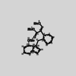 COC=C(C(=O)OC)c1ccccc1Cn1ccc2cccc(OC)c21